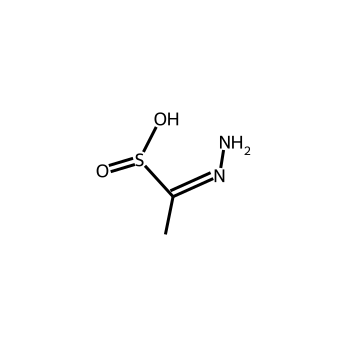 CC(=NN)S(=O)O